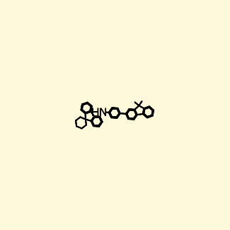 CC1(C)c2ccccc2-c2ccc(-c3ccc(Nc4cccc5c4-c4ccccc4C54CCCCC4)cc3)cc21